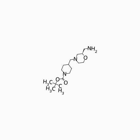 CC(C)(C)OC(=O)N1CCC(CN2CCO[C@H](CN)C2)CC1